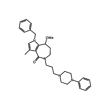 COC1CCN(CCCN2CCN(c3ccccc3)CC2)C(=O)c2c(C)cn(Cc3ccccc3)c21